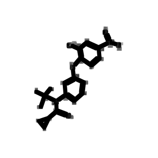 CC(C)(C)N(C(=O)C1CC1)c1cccc(Oc2ccc([N+](=O)[O-])cc2Cl)c1